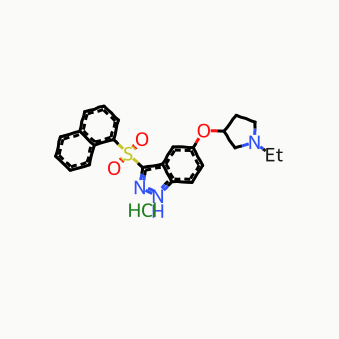 CCN1CCC(Oc2ccc3[nH]nc(S(=O)(=O)c4cccc5ccccc45)c3c2)C1.Cl